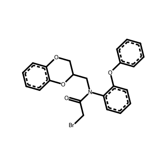 O=C(CBr)N(CC1COc2ccccc2O1)c1ccccc1Oc1ccccc1